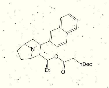 CCCCCCCCCCCC(=O)O[C@@H](CC)C1C(c2ccc3ccccc3c2)CC2CCC1N2C